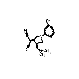 CN(C)C=C1CN(c2cccc(Br)c2)CC1=C(C#N)C#N